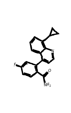 NC(=O)c1ccc(F)cc1-c1ccnc2c(C3CC3)cccc12